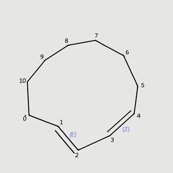 [CH]1/C=C/C=C\CCCCCC1